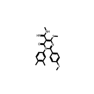 CNC(=N)c1c(SC)nc(-c2ccc(SC)cc2)n(-c2ccc(C)c(C)c2)c1=O